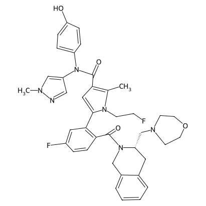 Cc1c(C(=O)N(c2ccc(O)cc2)c2cnn(C)c2)cc(-c2cc(F)ccc2C(=O)N2Cc3ccccc3C[C@H]2CN2CCOCC2)n1CCF